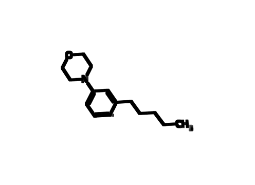 CCCCCc1[c]ccc(N2CCOCC2)c1